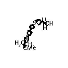 COCC(C)(C)N1CCN(c2ccc(-c3ccc(SN4CC=C(C(=O)NO)CC4)cc3)cc2)CC1